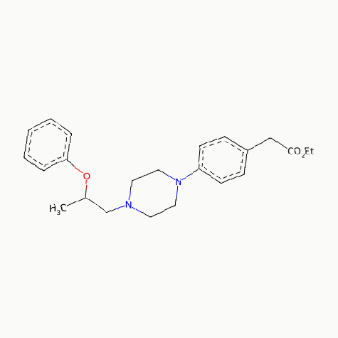 CCOC(=O)Cc1ccc(N2CCN(CC(C)Oc3ccccc3)CC2)cc1